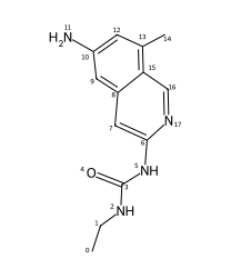 CCNC(=O)Nc1cc2cc(N)cc(C)c2cn1